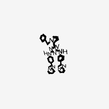 c1ccc(Cn2cccc2-c2nc(Nc3ccc(-c4cn5ccccc5n4)cc3)nc(Nc3ccc(-c4cn5ccccc5n4)cc3)n2)cc1